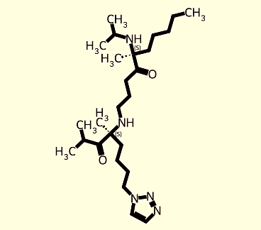 CCCCC[C@](C)(NC(C)C)C(=O)CCCN[C@@](C)(CCCCn1ccnn1)C(=O)C(C)C